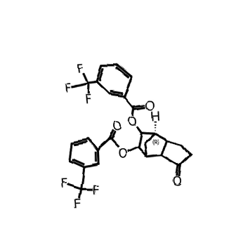 O=C(OC1C2C[C@H](C3CCC(=O)C23)C1OC(=O)c1cccc(C(F)(F)F)c1)c1cccc(C(F)(F)F)c1